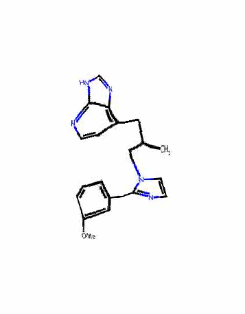 COc1cccc(-c2nccn2CC(C)Cc2ccnc3[nH]cnc23)c1